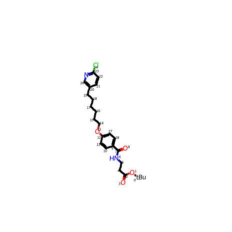 CC(C)(C)OC(=O)CCNC(=O)c1ccc(OCCCCCCc2ccc(Cl)nc2)cc1